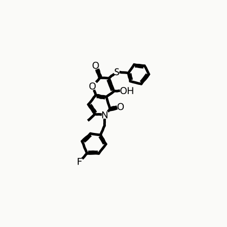 Cc1cc2oc(=O)c(Sc3ccccc3)c(O)c2c(=O)n1Cc1ccc(F)cc1